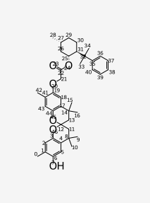 Cc1cc2c(cc1O)C(C)(C)CC1(CC(C)(C)c3cc(OCC(=O)O[C@@H]4C[C@H](C)CC[C@H]4C(C)(C)c4ccccc4)c(C)cc3O1)O2